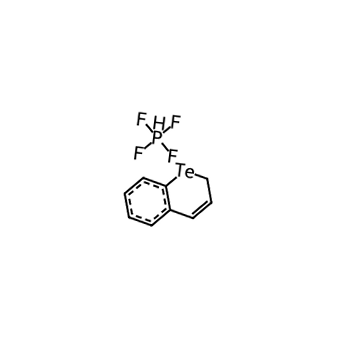 C1=Cc2ccccc2[Te]C1.F[PH](F)(F)F